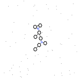 c1ccc(-c2ccc(N(c3ccccc3)c3ccc(-c4ccc(-n5c6ccccc6c6ccccc65)cc4-c4ccccc4)cc3)cc2)cc1